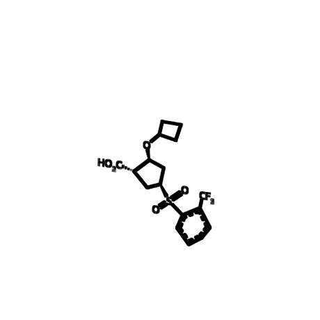 O=C(O)[C@H]1C[C@H](S(=O)(=O)c2ccccc2C(F)(F)F)C[C@@H]1OC1CCC1